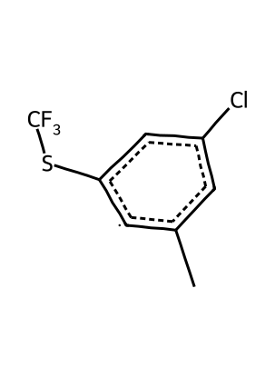 Cc1[c]c(SC(F)(F)F)cc(Cl)c1